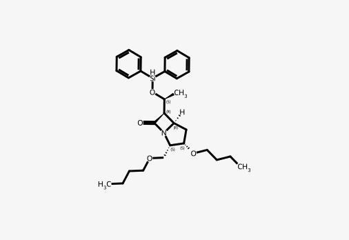 CCCCOC[C@H]1[C@@H](OCCCC)C[C@@H]2[C@H]([C@H](C)O[SiH](c3ccccc3)c3ccccc3)C(=O)N21